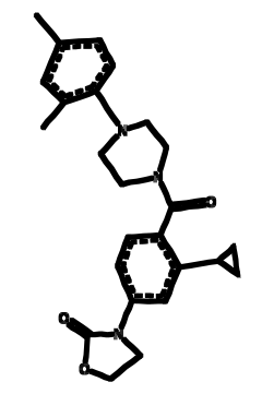 Cc1ccc(N2CCN(C(=O)c3ccc(N4CCOC4=O)cc3C3CC3)CC2)c(C)c1